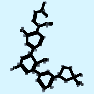 CN(C)/C=C\N(C=O)c1ccc(-c2cc(F)cc(-c3cncc(N4CCC(C)(N)C4)c3)c2O)cc1Cl